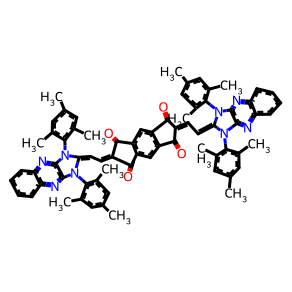 Cc1cc(C)c(N2C(=CC=C3C(=O)c4cc5c(cc4C3=O)C(=O)C(=CC=C3N(c4c(C)cc(C)cc4C)c4nc6ccccc6nc4N3c3c(C)cc(C)cc3C)C5=O)N(c3c(C)cc(C)cc3C)c3nc4ccccc4nc32)c(C)c1